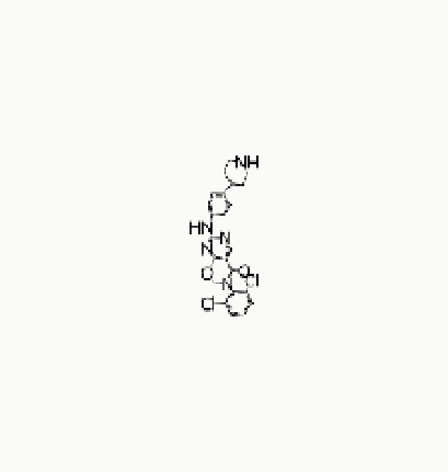 O=C1c2cnc(Nc3ccc(C4CCNCC4)cc3)nc2OCN1c1c(Cl)cccc1Cl